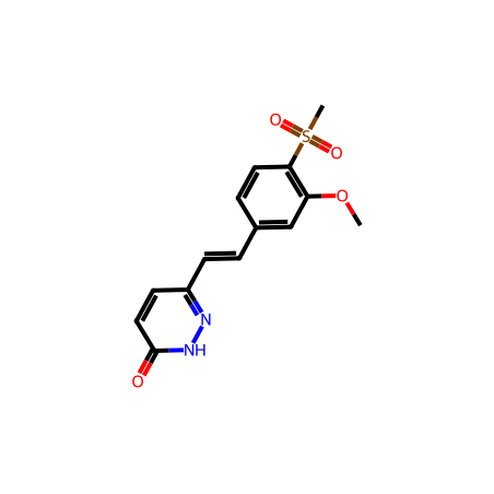 COc1cc(/C=C/c2ccc(=O)[nH]n2)ccc1S(C)(=O)=O